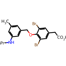 CCCNc1cc(C)cc(COc2c(Br)cc(CC(=O)O)cc2Br)c1